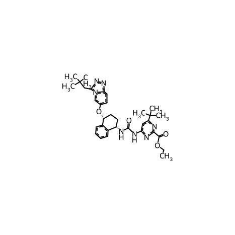 CCOC(=O)c1nc(NC(=O)N[C@H]2CC[C@@H](Oc3ccc4nnc(CC(C)(C)C)n4c3)c3ccccc32)cc(C(C)(C)C)n1